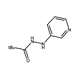 CC(C)(C)C(=O)NNc1cccnc1